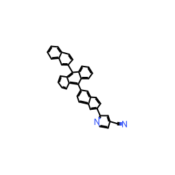 N#Cc1ccnc(-c2ccc3cc(-c4c5ccccc5c(-c5ccc6ccccc6c5)c5ccccc45)ccc3c2)c1